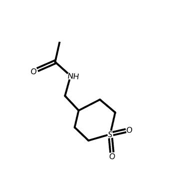 CC(=O)NCC1CCS(=O)(=O)CC1